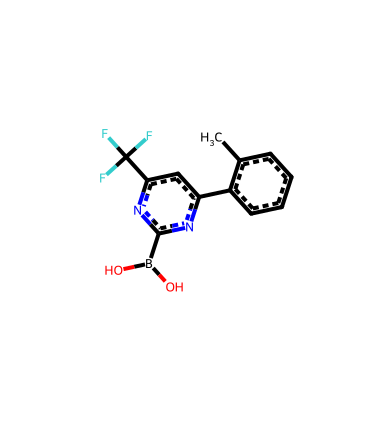 Cc1ccccc1-c1cc(C(F)(F)F)nc(B(O)O)n1